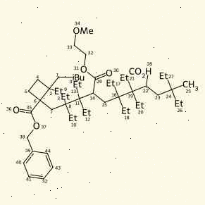 CCC(C)CC1(CC)CCC1(CC(CC)(CC)C(CC)(CC)C(CC(CC)(CC)C(CC)(CC)C(CC(C)(CC)CC)C(=O)O)C(=O)OCCOC)C(=O)OCc1ccccc1